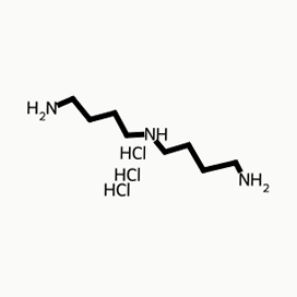 Cl.Cl.Cl.NCCCCNCCCCN